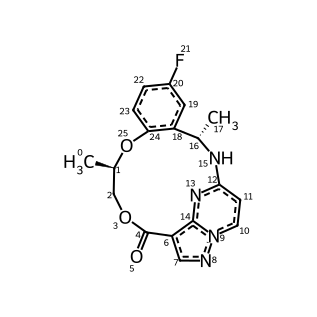 C[C@@H]1COC(=O)c2cnn3ccc(nc23)N[C@@H](C)c2cc(F)ccc2O1